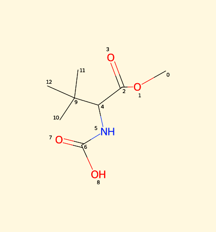 COC(=O)C(NC(=O)O)C(C)(C)C